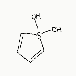 OS1(O)C=CC=C1